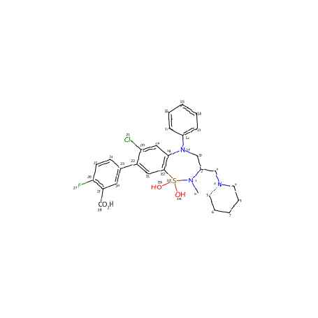 CN1C(CN2CCCCC2)CN(c2ccccc2)c2cc(Cl)c(-c3ccc(F)c(C(=O)O)c3)cc2S1(O)O